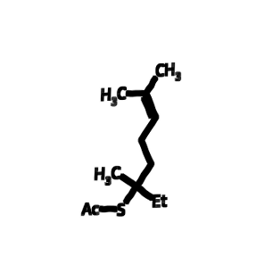 CCC(C)(CCC=C(C)C)SC(C)=O